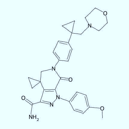 COc1ccc(-n2nc(C(N)=O)c3c2C(=O)N(c2ccc(C4(CN5CCOCC5)CC4)cc2)CC32CC2)cc1